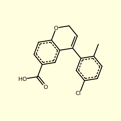 Cc1ccc(Cl)cc1C1=CCOc2ccc(C(=O)O)cc21